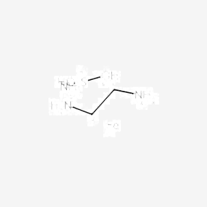 N.NCCN.O=S(=O)(O)O.[Fe]